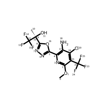 COc1nc(-c2nnc([C@](C)(O)C(F)(F)F)o2)c(N)c(Cl)c1C(F)(F)F